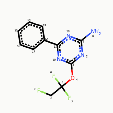 Nc1nc(OC(F)(F)CF)nc(-c2ccccc2)n1